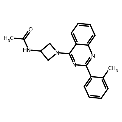 CC(=O)NC1CN(c2nc(-c3ccccc3C)nc3ccccc23)C1